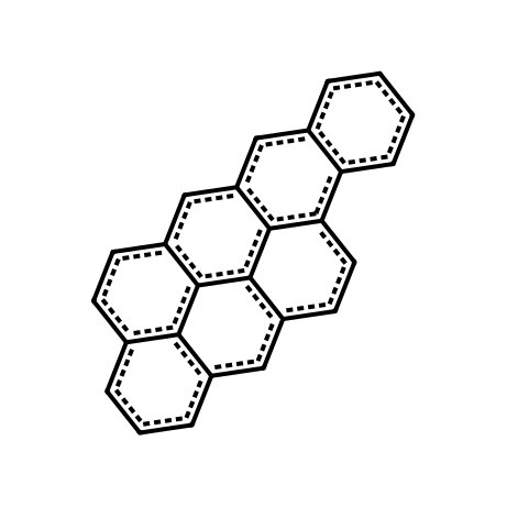 c1ccc2c(c1)cc1cc3ccc4cccc5cc6ccc2c1c6c3c45